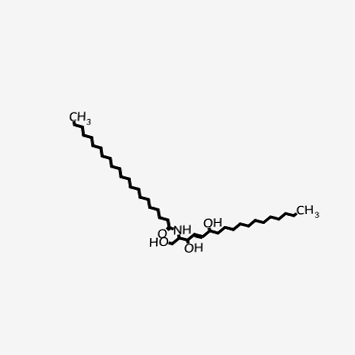 CCCCCCCCCCCCCCCCCCCCCC(=O)NC(CO)C(O)/C=C/C(O)CCCCCCCCCCCC